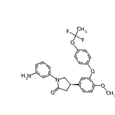 COc1ccc([C@H]2CC(=O)N(c3cccc(N)c3)C2)cc1Oc1ccc(OC(C)(F)F)cc1